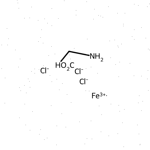 NCC(=O)O.[Cl-].[Cl-].[Cl-].[Fe+3]